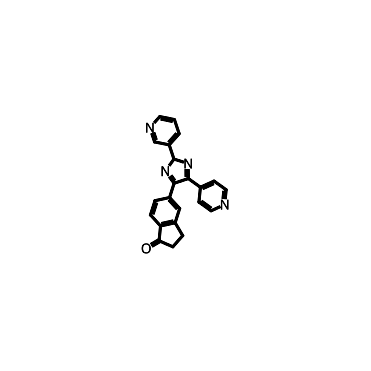 O=C1CCc2cc(C3=NC(c4cccnc4)N=C3c3ccncc3)ccc21